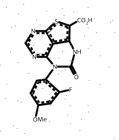 COc1ccc(N2C(=O)Nc3c(C(=O)O)sc4ncnc2c34)c(F)c1